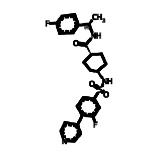 C[C@@H](NC(=O)[C@H]1CC[C@H](NS(=O)(=O)c2ccc(-c3ccncc3)c(F)c2)CC1)c1ccc(F)cc1